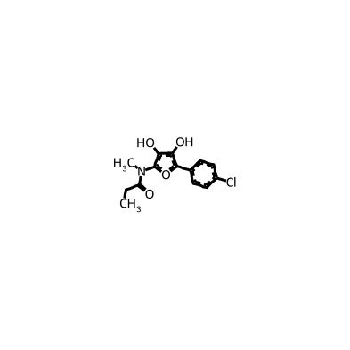 CCC(=O)N(C)c1oc(-c2ccc(Cl)cc2)c(O)c1O